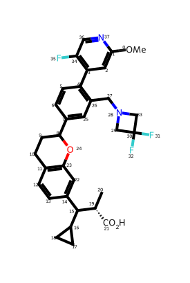 COc1cc(-c2ccc(C3CCc4ccc(C(C5CC5)[C@H](C)C(=O)O)cc4O3)cc2CN2CC(F)(F)C2)c(F)cn1